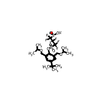 CC(C)OCc1cc(C(C)(C)C)cc(COC(C)C)c1OS(=O)(=O)C(F)(F)C(F)(F)C(F)(F)S(=O)(=O)O